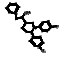 CC(C)c1ccc(N2CC(C(Cc3ccccc3)C(=O)O)CCC2c2ccc(C(F)(F)F)cc2)cc1